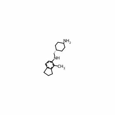 Cc1c(NC[C@H]2CC[C@H](N)CC2)ccc2c1CCC2